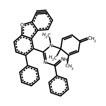 C=C1C=CC(C)(N(C)/C(=N\C(=N)c2ccccc2)c2c(-c3ccccc3)ccc3oc4c#cccc4c23)C(C)=C1